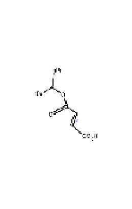 CCCC(OC(=O)/C=C/C(=O)O)C(C)(C)C